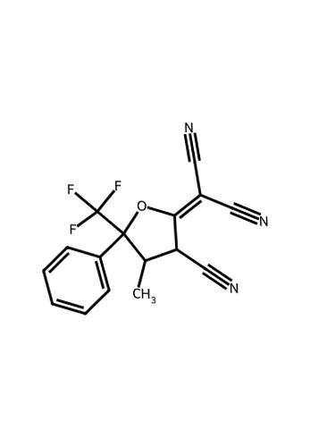 CC1C(C#N)C(=C(C#N)C#N)OC1(c1ccccc1)C(F)(F)F